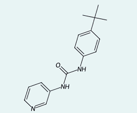 CC(C)(C)c1ccc(NC(=O)Nc2cccnc2)cc1